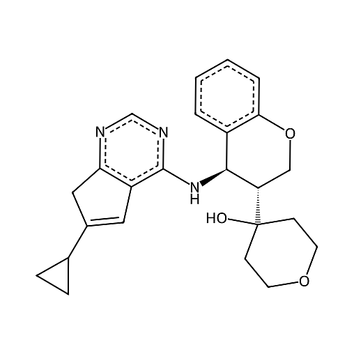 OC1([C@H]2COc3ccccc3[C@@H]2Nc2ncnc3c2C=C(C2CC2)C3)CCOCC1